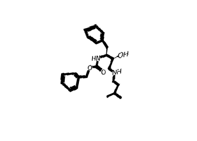 CC(C)CCNC[C@@H](O)[C@H](Cc1ccccc1)NC(=O)OCc1ccccc1